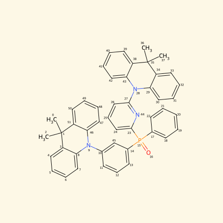 CC1(C)c2ccccc2N(c2cccc(P(=O)(c3ccccc3)c3cccc(N4c5ccccc5C(C)(C)c5ccccc54)n3)c2)c2ccccc21